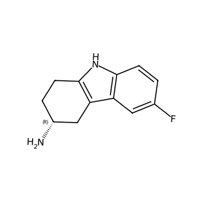 N[C@@H]1CCc2[nH]c3ccc(F)cc3c2C1